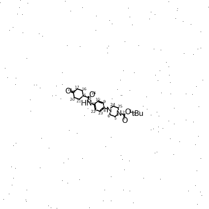 CC(C)(C)OC(=O)N1CCN(c2ccc(NC(=O)C3CCC(=O)CC3)cc2)CC1